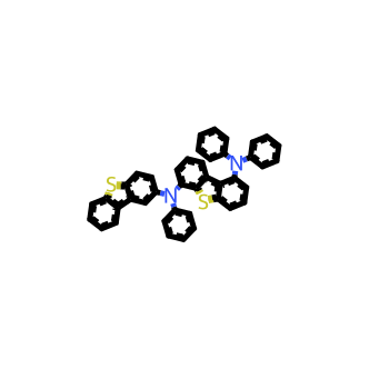 c1ccc(N(c2ccc3sc4ccccc4c3c2)c2cccc3c2sc2cccc(N(c4ccccc4)c4ccccc4)c23)cc1